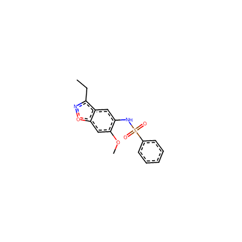 CCc1noc2cc(OC)c(NS(=O)(=O)c3ccccc3)cc12